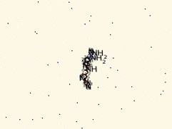 C=C(Cc1ccnc(N2CCN(C)CC2)c1)Nc1cc2cc(/C(N)=C/N(C)N)ccc2cn1